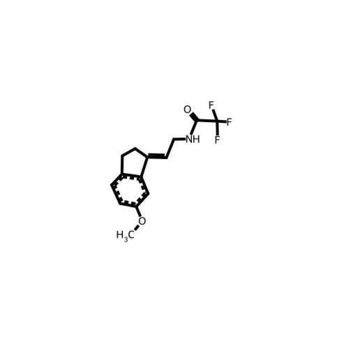 COc1ccc2c(c1)C(=CCNC(=O)C(F)(F)F)CC2